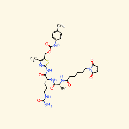 Cc1ccc(NC(=O)OCc2sc(NC(=O)[C@@H](CCCNC(N)=O)NC(=O)[C@H](NC(=O)CCCCCN3C(=O)C=CC3=O)C(C)C)nc2C(F)(F)F)cc1